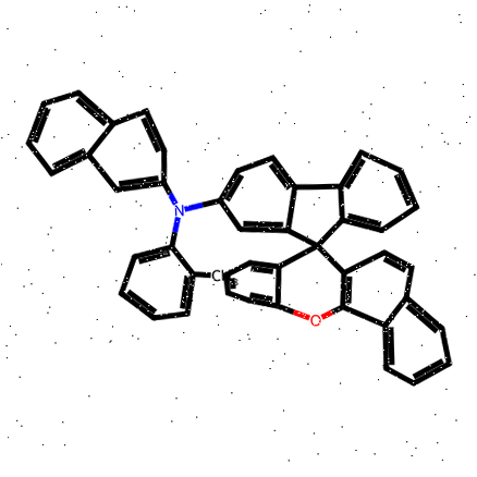 Cc1ccccc1N(c1ccc2c(c1)C1(c3ccccc3Oc3c1ccc1ccccc31)c1ccccc1-2)c1ccc2ccccc2c1